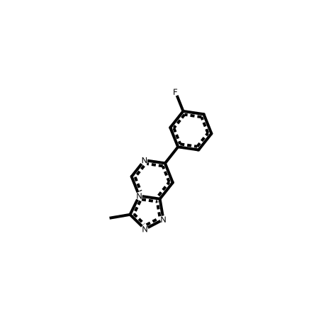 Cc1nnc2cc(-c3cccc(F)c3)ncn12